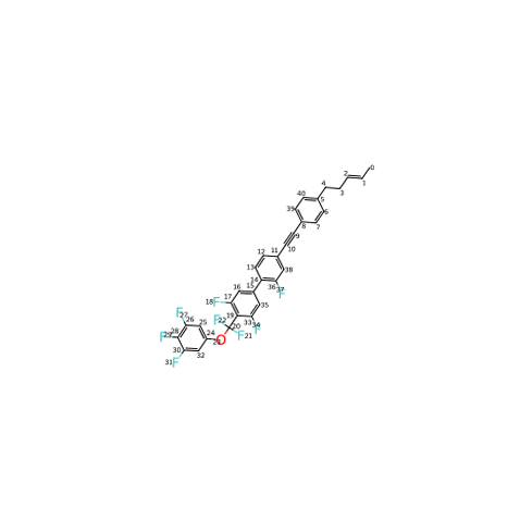 C/C=C/CCc1ccc(C#Cc2ccc(-c3cc(F)c(C(F)(F)Oc4cc(F)c(F)c(F)c4)c(F)c3)c(F)c2)cc1